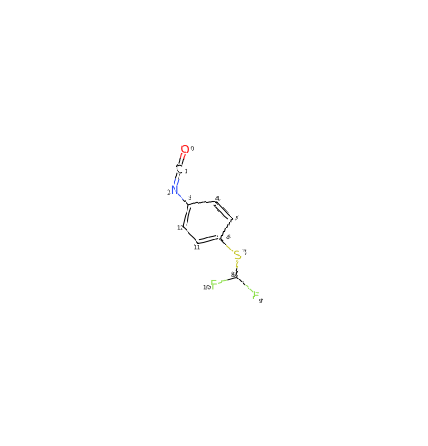 O=C=Nc1ccc(SC(F)F)cc1